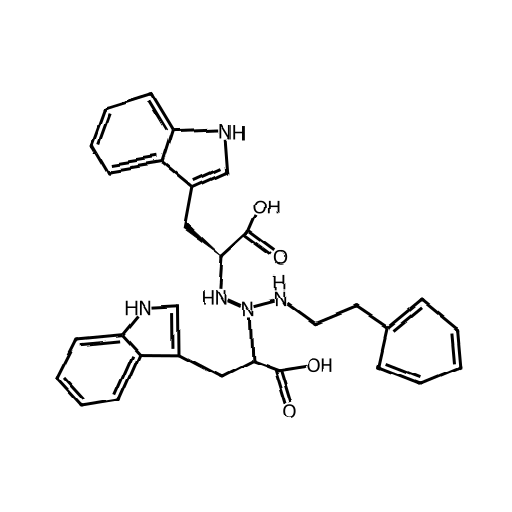 O=C(O)C(Cc1c[nH]c2ccccc12)N(NCCc1ccccc1)N[C@@H](Cc1c[nH]c2ccccc12)C(=O)O